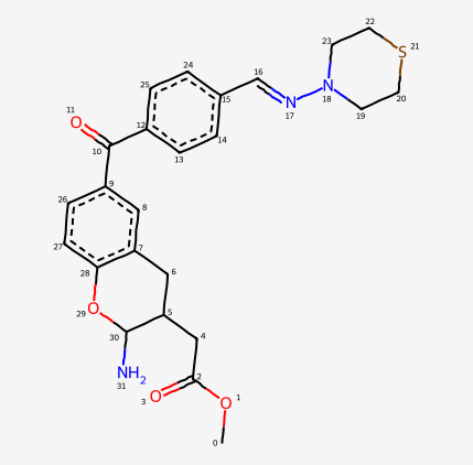 COC(=O)CC1Cc2cc(C(=O)c3ccc(C=NN4CCSCC4)cc3)ccc2OC1N